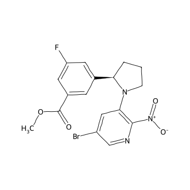 COC(=O)c1cc(F)cc([C@H]2CCCN2c2cc(Br)cnc2[N+](=O)[O-])c1